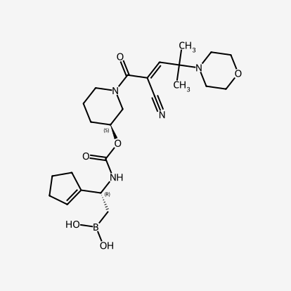 CC(C)(C=C(C#N)C(=O)N1CCC[C@H](OC(=O)N[C@H](CB(O)O)C2=CCCC2)C1)N1CCOCC1